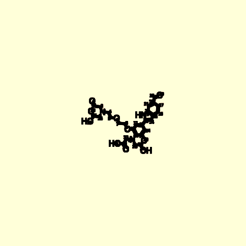 O=CCN(CCOCCOc1cc(-c2cc3ccc(C=O)cc3[nH]2)ccc1N(CC(=O)O)CC(=O)O)CC(=O)O